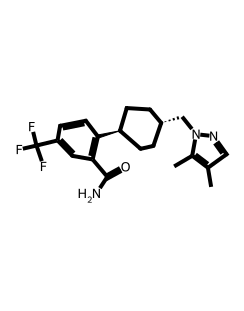 Cc1cnn(C[C@H]2CC[C@H](c3ccc(C(F)(F)F)cc3C(N)=O)CC2)c1C